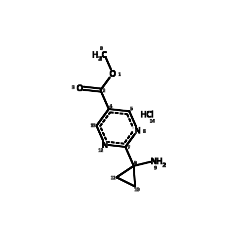 COC(=O)c1cnc(C2(N)CC2)nc1.Cl